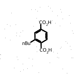 CCCCc1cc(C(=O)O)ccc1C(=O)O